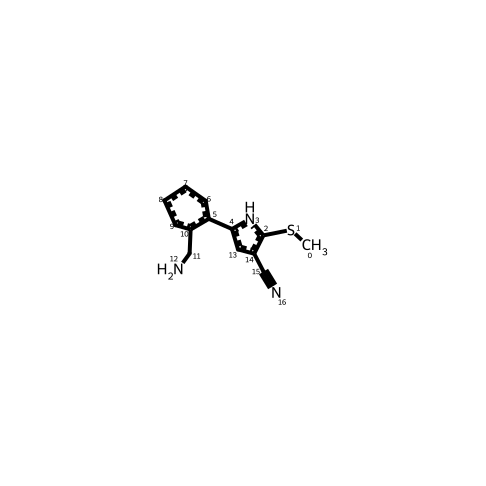 CSc1[nH]c(-c2ccccc2CN)cc1C#N